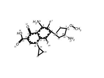 CO[C@H]1CN(c2c(F)c(N)c3c(=O)c(C(=O)O)cn(C4CC4)c3c2F)C[C@H]1N